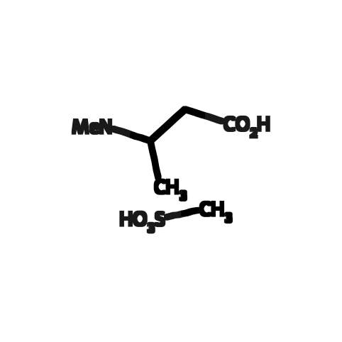 CNC(C)CC(=O)O.CS(=O)(=O)O